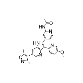 COc1ccc(-c2c(-c3ccnc(NC(C)=O)c3)[nH]c3cc(-c4c(C)noc4C)cnc23)nc1